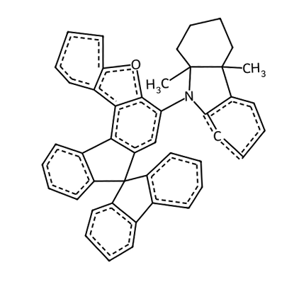 CC12CCCCC1(C)N(c1cc3c(c4c1oc1ccccc14)-c1ccccc1C31c3ccccc3-c3ccccc31)c1ccccc12